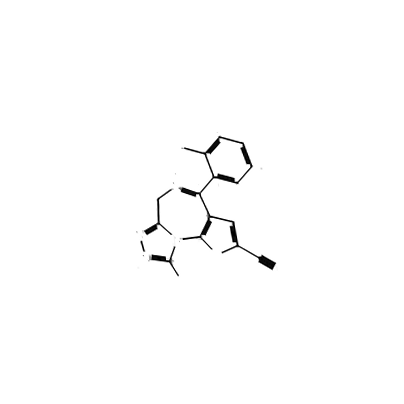 C#Cc1cc2c(s1)-n1c(C)nnc1CN=C2c1ccccc1Cl